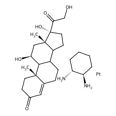 C[C@]12CCC(=O)C=C1CCC1C2[C@@H](O)C[C@@]2(C)C1CC[C@]2(O)C(=O)CO.N[C@@H]1CCCC[C@H]1N.[Pt]